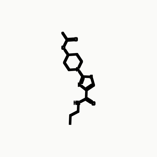 CCCNC(=O)c1csc(N2CCC(OC(C)=O)CC2)n1